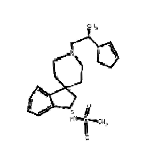 C[C@H](CN1CCC2(CC1)C[C@H](NS(C)(=O)=O)c1ccccc12)[C@H]1C=CCC1